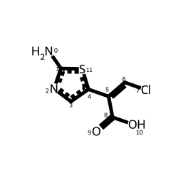 Nc1ncc(C(=CCl)C(=O)O)s1